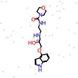 O=C(NCCNC[C@H](O)COc1cccc2[nH]ccc12)N1CCOCC1